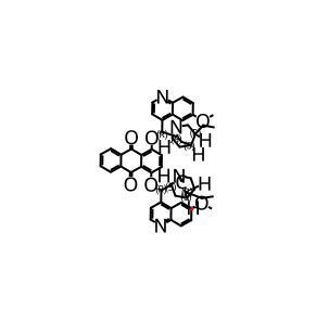 CC[C@H]1CN2CC[C@H]1C[C@H]2[C@H](Oc1ccc(O[C@H](c2ccnc3ccc(OC)cc23)[C@@H]2C[C@@H]3CCN2C[C@@H]3CC)c2c1C(=O)c1ccccc1C2=O)c1ccnc2ccc(OC)cc12